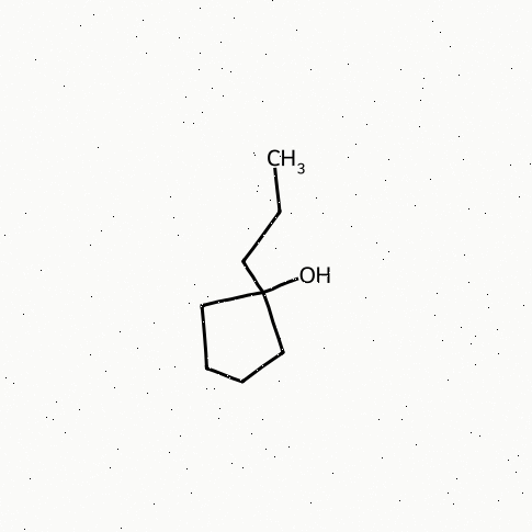 CCCC1(O)CCCC1